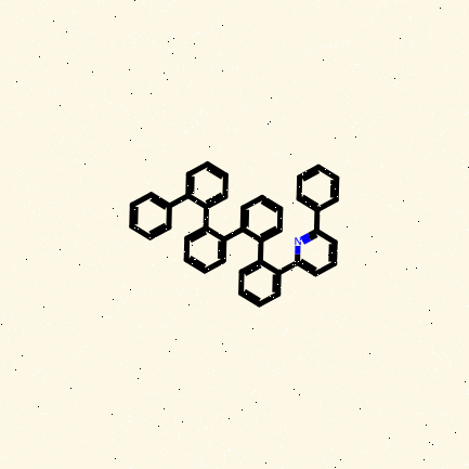 c1ccc(-c2cccc(-c3ccccc3-c3ccccc3-c3ccccc3-c3ccccc3-c3ccccc3)n2)cc1